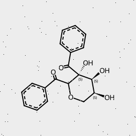 O=C([C]1OC[C@H](O)[C@H](O)[C@]1(O)C(=O)c1ccccc1)c1ccccc1